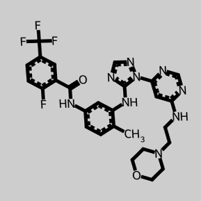 Cc1ccc(NC(=O)c2cc(C(F)(F)F)ccc2F)cc1Nc1ncnn1-c1cc(NCCN2CCOCC2)ncn1